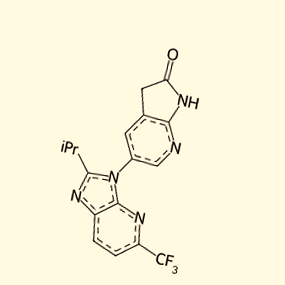 CC(C)c1nc2ccc(C(F)(F)F)nc2n1-c1cnc2c(c1)CC(=O)N2